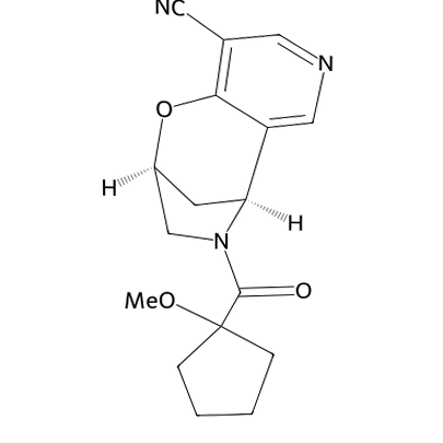 COC1(C(=O)N2C[C@@H]3C[C@H]2c2cncc(C#N)c2O3)CCCC1